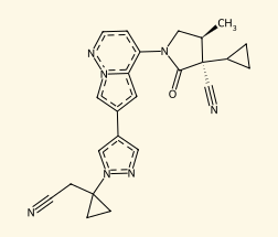 C[C@@H]1CN(c2ccnn3cc(-c4cnn(C5(CC#N)CC5)c4)cc23)C(=O)[C@]1(C#N)C1CC1